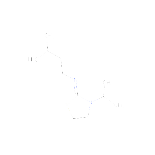 CC(C)CC/N=C1\SCCN1C(C)C